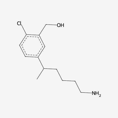 CC(CCCCN)c1ccc(Cl)c(CO)c1